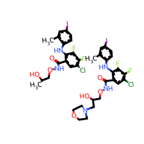 Cc1cc(I)ccc1Nc1c(C(=O)NOCC(C)O)cc(Cl)c(F)c1F.Cc1cc(I)ccc1Nc1c(C(=O)NOCC(O)CN2CCOCC2)cc(Cl)c(F)c1F